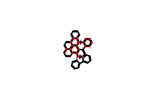 c1ccc(-c2ccccc2-c2c(-c3ccccc3)cccc2-c2ccccc2N(c2cccc(-n3c4ccccc4c4ccccc43)c2)c2ccccc2-c2ccccc2)cc1